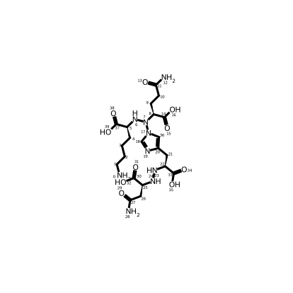 NCCCC[C@H](NN([C@@H](CCC(N)=O)C(=O)O)n1cnc(C[C@H](NN[C@@H](CC(N)=O)C(=O)O)C(=O)O)c1)C(=O)O